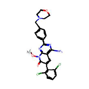 COn1c(=O)c(-c2c(Cl)cccc2Cl)cc2c(N)nc(-c3ccc(CN4CCOCC4)cc3)nc21